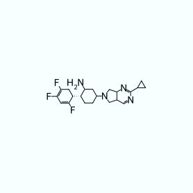 NC1CC(N2CC3C=NC(C4CC4)=NC3C2)CC[C@@H]1C1CC(F)=C(F)C=C1F